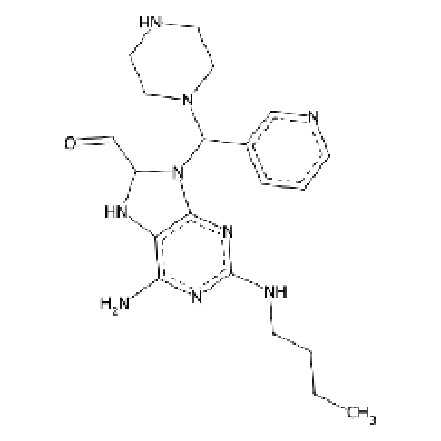 CCCCNc1nc(N)c2c(n1)N(C(c1cccnc1)N1CCNCC1)C(C=O)N2